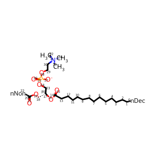 CCCCCCCCCCCCCCCCCCCCCCCC(=O)O[C@H](COC(=O)CCCCCCCCC)COP(=O)([O-])OCC[N+](C)(C)C